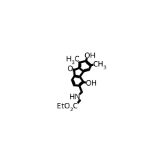 CCOC(=O)CNCc1ccc2c(c1O)-c1cc(C)c(O)c(C)c1C2=O